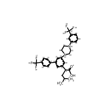 CC(C)CC(C(=O)O)c1cc(-c2ccc(C(F)(F)F)cc2)cc(N2CCN(c3cccc(C(F)(F)F)c3)CC2)c1